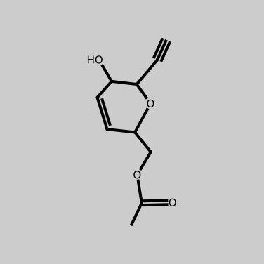 C#CC1OC(COC(C)=O)C=CC1O